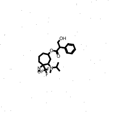 CC(C)N(C)C1CC(OC(=O)C(CO)c2ccccc2)CCCC1(N=O)C(F)(F)F